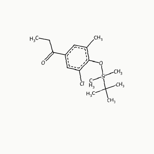 CCC(=O)c1cc(C)c(O[Si](C)(C)C(C)(C)C)c(Cl)c1